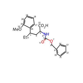 CCC(CC(NC(=O)OCc1ccccc1)C(=O)O)c1ccccc1OC